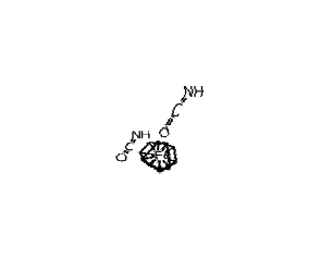 N=C=O.N=C=O.[CH]12[CH]3[CH]4[CH]5[CH]1[Fe]23451678[CH]2[CH]1[CH]6[CH]7[CH]28